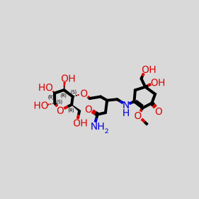 COC1=C(NCC(CCO[C@H]2[C@H](O)[C@@H](O)[C@@H](O)O[C@@H]2CO)CC(N)=O)CC(O)(CO)CC1=O